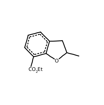 CCOC(=O)c1cccc2c1OC(C)C2